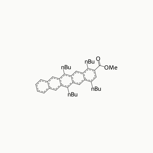 CCCCc1cc(C(=O)OC)c(CCCC)c2cc3c(CCCC)c4cc5ccccc5cc4c(CCCC)c3cc12